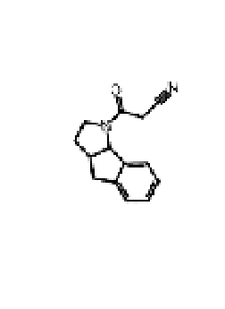 N#CCC(=O)N1CCC2Cc3ccccc3C21